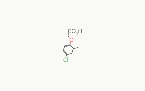 CC1CC(Cl)=CC=C1OCC(=O)O